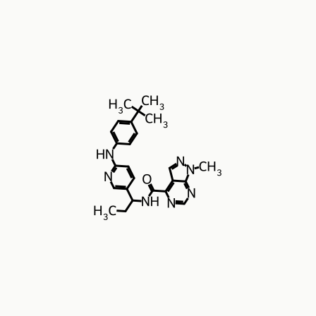 CCC(NC(=O)c1ncnc2c1cnn2C)c1ccc(Nc2ccc(C(C)(C)C)cc2)nc1